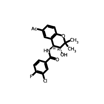 CC(=O)c1ccc2c(c1)[C@H](NC(=O)c1ccc(F)c(Cl)c1)[C@@H](O)C(C)(C)O2